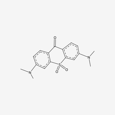 CN(C)c1ccc2c(c1)S(=O)(=O)c1cc(N(C)C)ccc1C2=O